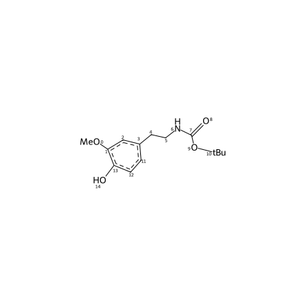 COc1cc(CCNC(=O)OC(C)(C)C)ccc1O